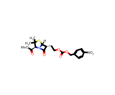 COC(=O)[C@@H]1N2C(=O)[C@@H](CCOC(=O)OCc3ccc([N+](=O)[O-])cc3)[C@H]2SC1(C)C